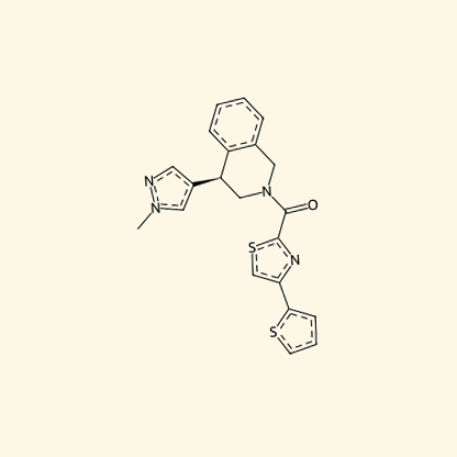 Cn1cc([C@@H]2CN(C(=O)c3nc(-c4cccs4)cs3)Cc3ccccc32)cn1